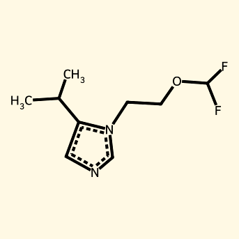 CC(C)c1cncn1CCOC(F)F